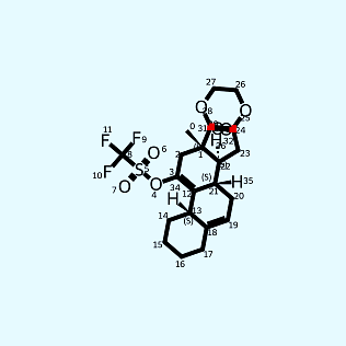 C[C@]12CC(OS(=O)(=O)C(F)(F)F)=C3[C@H]4CCCCC4=CC[C@H]3[C@@H]1CC13OCCOC12OCCO3